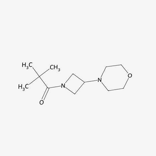 CC(C)(C)C(=O)N1CC(N2CCOCC2)C1